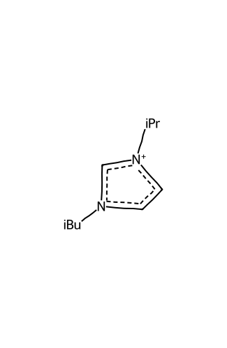 CCC(C)n1cc[n+](C(C)C)c1